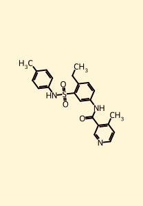 CCc1ccc(NC(=O)c2cnccc2C)cc1S(=O)(=O)Nc1ccc(C)cc1